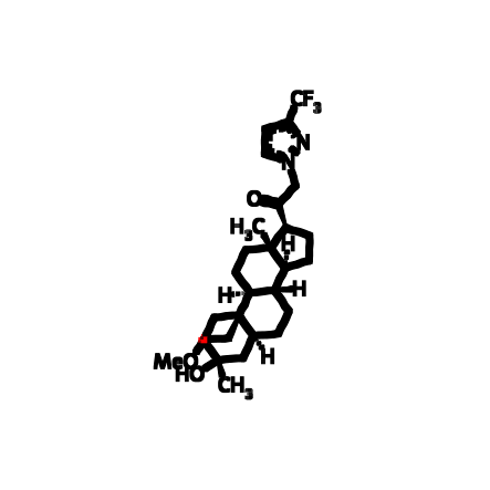 COCC[C@]12CC[C@@](C)(O)C[C@@H]1CC[C@H]1[C@@H]3CC[C@H](C(=O)Cn4ccc(C(F)(F)F)n4)[C@@]3(C)CC[C@@H]12